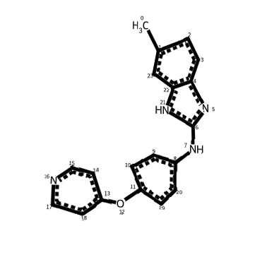 Cc1ccc2nc(Nc3ccc(Oc4ccncc4)cc3)[nH]c2c1